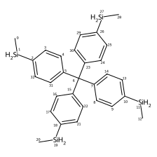 C[SiH2]c1ccc(C(c2ccc([SiH2]C)cc2)(c2ccc([SiH2]C)cc2)c2ccc([SiH2]C)cc2)cc1